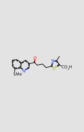 CSc1cccc2cc(C(=O)CCCc3nc(C)c(C(=O)O)s3)cnc12